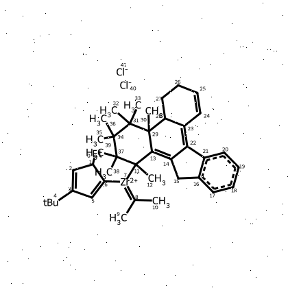 CCC1C=C(C(C)(C)C)C=[C]1[Zr+2](=[C](C)C)[C]1(C)C2=C3Cc4ccccc4C3=C3C=CCCC3C2(C)C(C)(C)C(C)(C)C1(C)C.[Cl-].[Cl-]